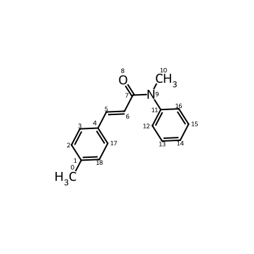 Cc1ccc(/C=C/C(=O)N(C)c2ccccc2)cc1